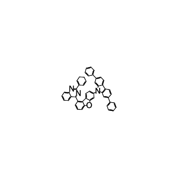 C1=CC(c2nc(-c3cccc4oc5cc(-n6c7cc(-c8ccccc8)ccc7c7ccc(-c8ccccc8)cc76)ccc5c34)c3ccccc3n2)=CCC1